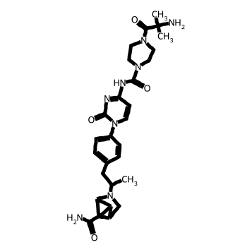 CC(Cc1ccc(-n2ccc(NC(=O)N3CCN(C(=O)C(C)(C)N)CC3)nc2=O)cc1)N1CC2C3C1C23C(N)=O